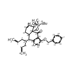 C=CCN(CC=C)[C@@H]1c2onc(OCc3ccccc3)c2C(=O)[C@@]2(O[Si](C)(C)C(C)(C)C)C(=O)C=CCC12